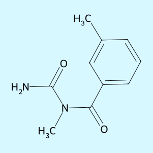 Cc1cccc(C(=O)N(C)C(N)=O)c1